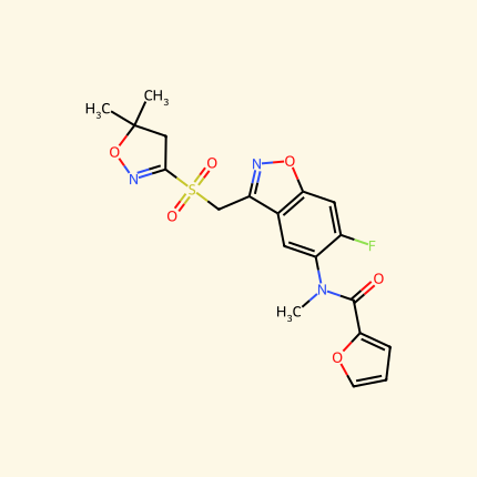 CN(C(=O)c1ccco1)c1cc2c(CS(=O)(=O)C3=NOC(C)(C)C3)noc2cc1F